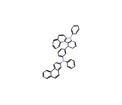 C1=Cc2c(c3c4ccccc4ccc3n2-c2ccccc2)C(c2cccc(N(c3ccccc3)c3ccc4c(ccc5ccccc54)c3)c2)C1